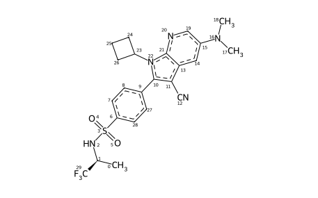 C[C@H](NS(=O)(=O)c1ccc(-c2c(C#N)c3cc(N(C)C)cnc3n2C2CCC2)cc1)C(F)(F)F